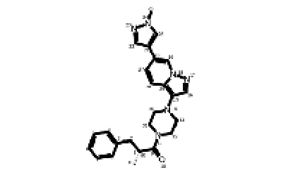 C[C@H](Cc1ccccc1)C(=O)N1CCN(c2cnn3cc(-c4cnn(C)c4)ccc23)CC1